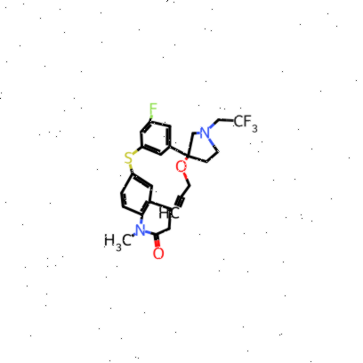 C#CCOC1(c2cc(F)cc(Sc3ccc4c(c3)CCC(=O)N4C)c2)CCN(CC(F)(F)F)C1